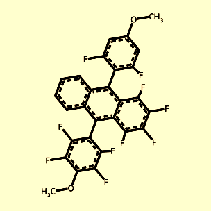 COc1cc(F)c(-c2c3ccccc3c(-c3c(F)c(F)c(OC)c(F)c3F)c3c(F)c(F)c(F)c(F)c23)c(F)c1